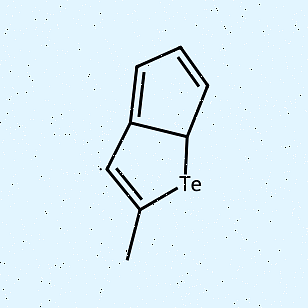 CC1=[C]C2=CC=CC2[Te]1